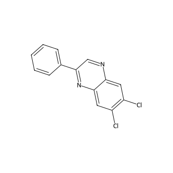 Clc1cc2ncc(-c3ccccc3)nc2cc1Cl